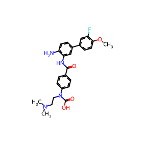 COc1ccc(-c2ccc(N)c(NC(=O)c3ccc(N(CCN(C)C)C(=O)O)cc3)c2)cc1F